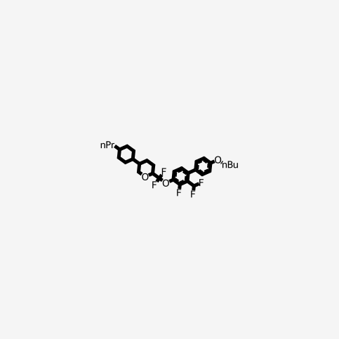 CCCCOc1ccc(-c2ccc(OC(F)(F)C3CCC(C4CCC(CCC)CC4)CO3)c(F)c2C(F)F)cc1